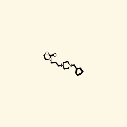 O=C1OCCN1CCCN1CCN(Cc2ccccc2)CC1